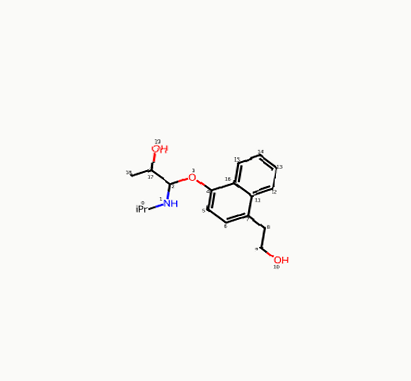 CC(C)NC(Oc1ccc(CCO)c2ccccc12)C(C)O